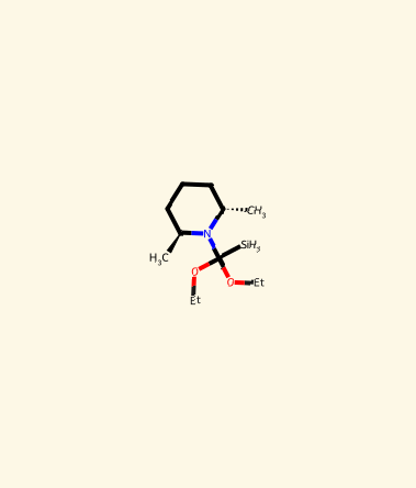 CCOC([SiH3])(OCC)N1[C@@H](C)CCC[C@@H]1C